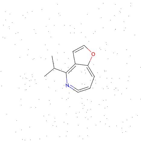 CC(C)C1=c2ccoc2=CC=C=N1